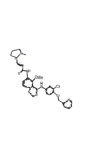 COc1c(NC(=O)/C=C/[C@H]2CCCN2C)ccc2ncnc(Nc3ccc(OCc4ccccn4)c(Cl)c3)c12